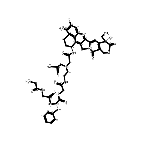 CC[C@@]1(O)C(=O)OCc2c1cc1n(c2=O)Cc2c-1nc1cc(F)c(C)c3c1c2[C@@H](NC(=O)CN(CCNC(=O)CNC(=O)[C@H](Cc1ccccc1)NC(=O)CNC(=O)CN)CC(=O)O)CC3